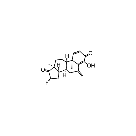 C=C1C[C@@H]2[C@H](CC[C@]3(C)C(=O)[C@H](F)C[C@@H]23)[C@@]2(C)C=CC(=O)C(O)=C12